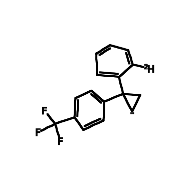 [2H]c1ccccc1C1(c2ccc(C(F)(F)F)cc2)[C]C1